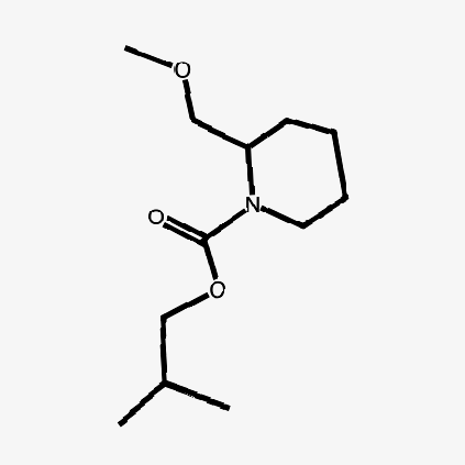 COCC1CCCCN1C(=O)OCC(C)C